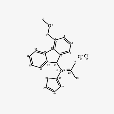 COCc1cccc2c1-c1ccccc1[CH]2[Zr+2]([C]1=CC=CC1)=[C](C)C.[Cl-].[Cl-]